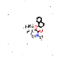 CCN(CC)C(=O)C(C)Oc1cccc2ccccc12.[NaH]